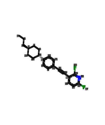 CCC[C@H]1CC[C@H](c2ccc(C#Cc3ccc(F)nc3F)cc2)CC1